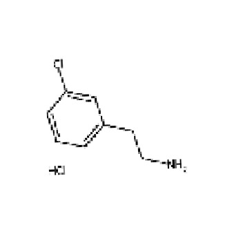 Cl.NCCc1cccc(Cl)c1